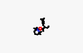 CCC(=C=C=C(C)C)C(C)ON1C(C)(C)CCCC1(C)C